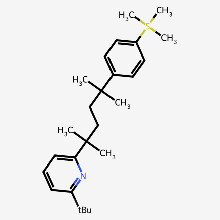 CC(C)(C)c1cccc(C(C)(C)CCC(C)(C)c2ccc(S(C)(C)C)cc2)n1